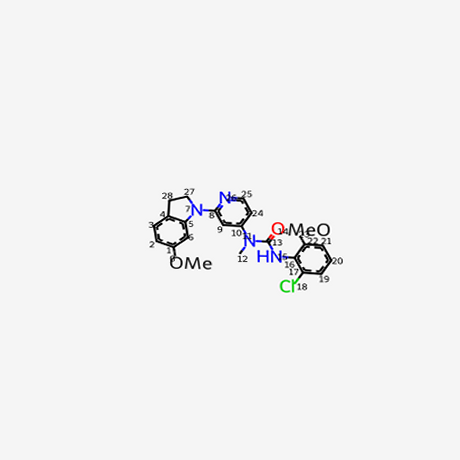 COc1ccc2c(c1)N(c1cc(N(C)C(=O)Nc3c(Cl)cccc3OC)ccn1)CC2